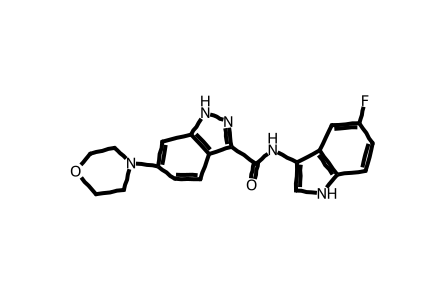 O=C(Nc1c[nH]c2ccc(F)cc12)c1n[nH]c2cc(N3CCOCC3)ccc12